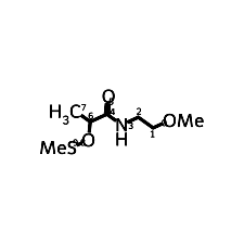 COCCNC(=O)C(C)OSC